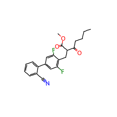 CCCCC(=O)C(Cc1c(F)cc(-c2ccccc2C#N)cc1F)C(=O)OC